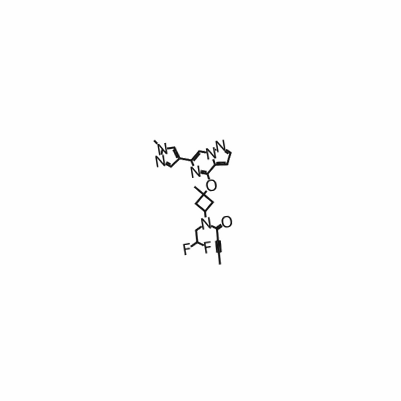 CC#CC(=O)N(CC(F)F)C1CC(C)(Oc2nc(-c3cnn(C)c3)cn3nccc23)C1